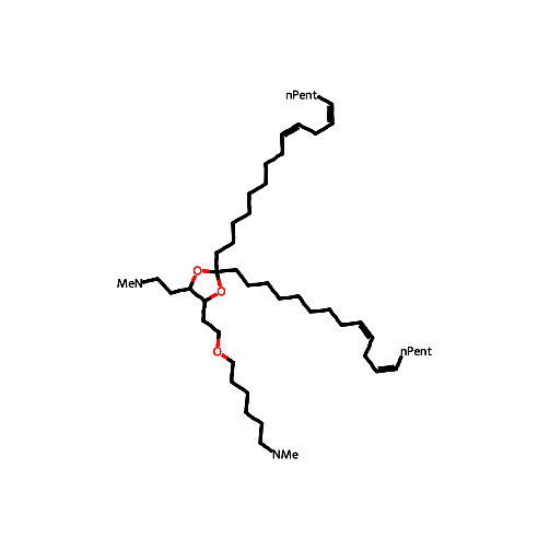 CCCCC/C=C\C/C=C\CCCCCCCCC1(CCCCCCCC/C=C\C/C=C\CCCCC)OC(CCNC)C(CCOCCCCCCNC)O1